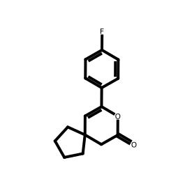 O=C1CC2(C=C(c3ccc(F)cc3)O1)CCCC2